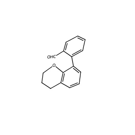 O=Cc1ccccc1-c1cccc2c1OCCC2